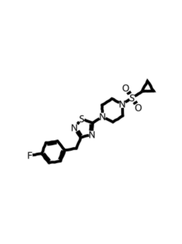 O=S(=O)(C1CC1)N1CCN(c2nc(Cc3ccc(F)cc3)ns2)CC1